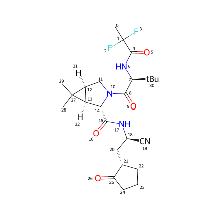 CC(F)(F)C(=O)N[C@H](C(=O)N1C[C@H]2[C@@H]([C@H]1C(=O)N[C@@H](C#N)C[C@@H]1CCCC1=O)C2(C)C)C(C)(C)C